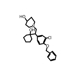 OC1CCN(CC(c2ccc(OCc3ccccc3)c(Cl)c2)C2(O)CCCCC2)CC1